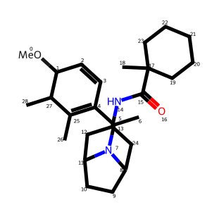 COC1C=CC(C(C)N2C3CCC2CC(NC(=O)C2(C)CCCCC2)C3)=C(C)C1C